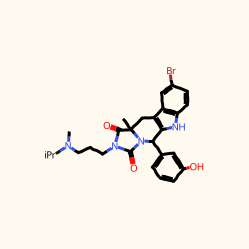 CC(C)N(C)CCCN1C(=O)N2C(c3cccc(O)c3)c3[nH]c4ccc(Br)cc4c3CC2(C)C1=O